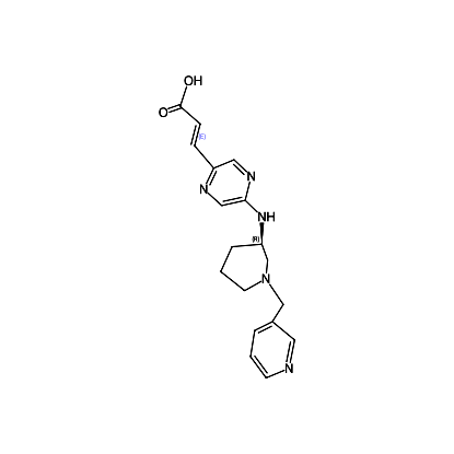 O=C(O)/C=C/c1cnc(N[C@@H]2CCCN(Cc3cccnc3)C2)cn1